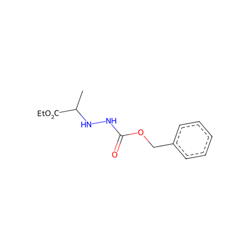 CCOC(=O)C(C)NNC(=O)OCc1ccccc1